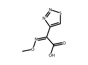 CO/N=C(\C(=O)O)c1csnn1